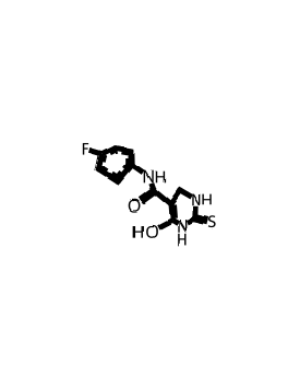 O=C(Nc1ccc(F)cc1)C1=C(O)NC(=S)NC1